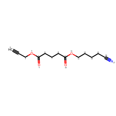 C#CCOC(=O)CCCC(=O)OCCCCC#N